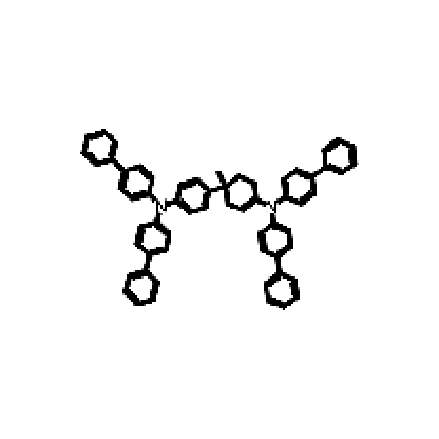 CC1(c2ccc(N(c3ccc(-c4ccccc4)cc3)c3ccc(-c4ccccc4)cc3)cc2)CC=C(N(c2ccc(-c3ccccc3)cc2)c2ccc(-c3ccccc3)cc2)CC1